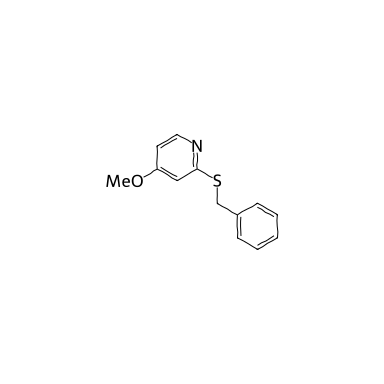 COc1ccnc(SCc2ccccc2)c1